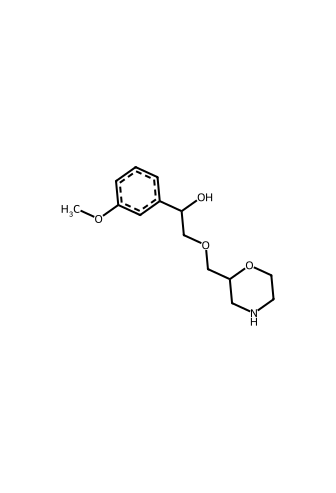 COc1cccc(C(O)COCC2CNCCO2)c1